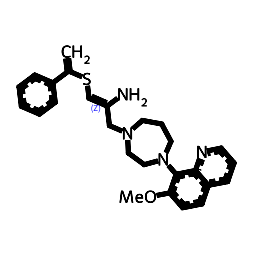 C=C(S/C=C(\N)CN1CCCN(c2c(OC)ccc3cccnc23)CC1)c1ccccc1